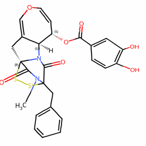 CN1C(=O)[C@]23CC4=COC=C[C@H](OC(=O)c5ccc(O)c(O)c5)[C@H]4N2C(=O)C1(Cc1ccccc1)SS3